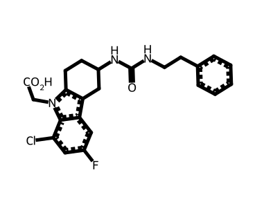 O=C(O)Cn1c2c(c3cc(F)cc(Cl)c31)CC(NC(=O)NCCc1ccccc1)CC2